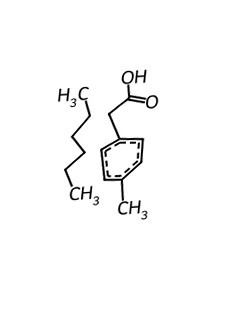 CCCCCC.Cc1ccc(CC(=O)O)cc1